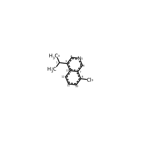 CC(C)c1cncc2c(Cl)cccc12